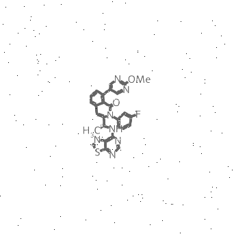 COc1ncc(-c2cccc3cc([C@H](C)Nc4ncnc5scnc45)n(-c4cccc(F)c4)c(=O)c23)cn1